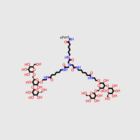 CCCCCNC(=O)CCCCCNC(=O)CN(CC(=O)NCCCCCC(=O)NCCO[C@H]1O[C@H](CO[C@H]2O[C@H](CO)[C@@H](O)[C@H](O)[C@@H]2O)[C@@H](O)[C@H](O[C@H]2O[C@H](CO)[C@@H](O)[C@H](O)[C@@H]2O)[C@@H]1O)CC(=O)NCCCCCC(=O)NCCO[C@H]1O[C@H](CO[C@H]2O[C@H](CO)[C@@H](O)[C@H](O)[C@@H]2O)[C@@H](O)[C@H](O[C@H]2O[C@H](CO)[C@@H](O)[C@H](O)[C@@H]2O)[C@@H]1O